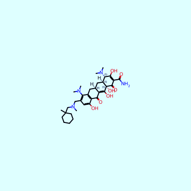 CN(Cc1cc(O)c2c(c1N(C)C)C[C@H]1C[C@H]3[C@H](N(C)C)C(O)=C(C(N)=O)C(=O)[C@@]3(O)C(O)=C1C2=O)CC1(C)CCCCC1